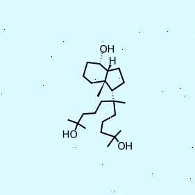 CC(C)(O)CCCC(C)(CCCC(C)(C)O)[C@H]1CC[C@H]2[C@@H](O)CCC[C@@]12C